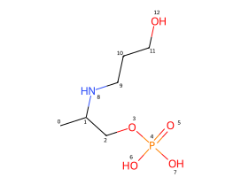 CC(COP(=O)(O)O)NCCCO